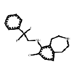 FC(F)(CNc1c(Cl)ccc2c1CCNCC2)c1ccccc1